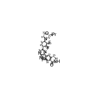 CC(C)[C@H]1CN(c2ccc(-c3cnc(N)c(-c4cc5c(cc4F)C(=O)NCC5)n3)c(F)c2F)CCO1